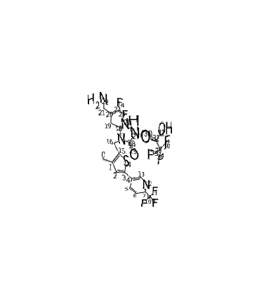 Cc1cc(-c2ccc(C(F)(F)F)nc2)sc1Cn1c(CC(CN)=C(F)F)n[nH]c1=O.O=C(O)C(F)(F)F